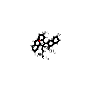 COc1cc2ccc(Br)cc2cc1C(c1cccc(C)c1)C(O)(CCN(C)C)c1cccc2ccccc12